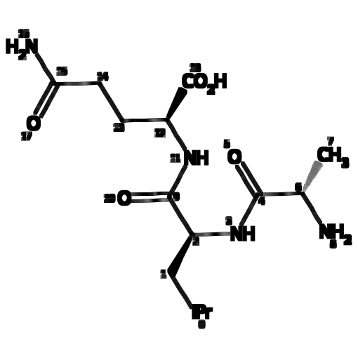 CC(C)C[C@H](NC(=O)[C@H](C)N)C(=O)N[C@@H](CCC(N)=O)C(=O)O